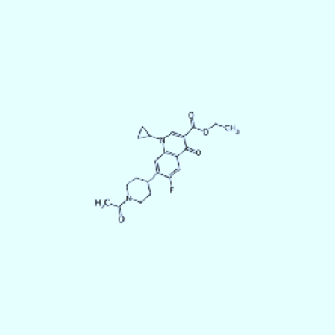 CCOC(=O)c1cn(C2CC2)c2cc(C3CCN(C(C)=O)CC3)c(F)cc2c1=O